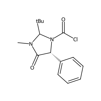 CN1C(=O)[C@@H](c2ccccc2)N(C(=O)Cl)C1C(C)(C)C